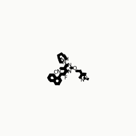 Cn1cc(CCOc2nc(N3CC4CCC(C3)N4)c3cnc(-c4cccc5cccc(Cl)c45)c(F)c3n2)cn1